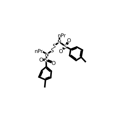 CCCN(SSN(CCC)S(=O)(=O)c1ccc(C)cc1)S(=O)(=O)c1ccc(C)cc1